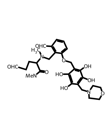 CNC(=O)C(CCC=O)N(C)Cc1c(C=O)cccc1OCc1c(O)c(O)c(CN2CCOCC2)c(O)c1O